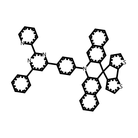 c1ccc(-c2cc(-c3ccc(N4c5cc6ccccc6cc5C5(c6cc7ccccc7cc64)c4ccsc4-c4sccc45)cc3)nc(-c3ccccn3)n2)cc1